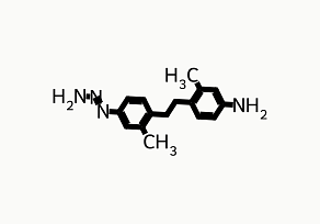 Cc1cc(N)ccc1CCc1ccc(N=NN)cc1C